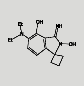 CCN(CC)c1ccc2c(c1O)C(=N)N(O)C21CCC1